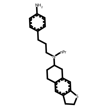 CCCN(CCCc1ccc(N)cc1)C1CCc2cc3c(cc2C1)SCC3